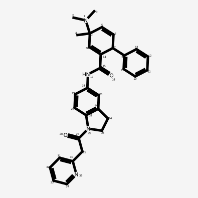 CN(C)C1(C)C=CC(c2ccccc2)C(C(=O)Nc2ccc3c(c2)CCN3C(=O)Cc2ccccn2)=C1